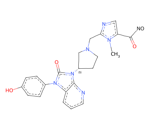 Cn1c(C(=O)N=O)cnc1CN1CC[C@H](n2c(=O)n(-c3ccc(O)cc3)c3cccnc32)C1